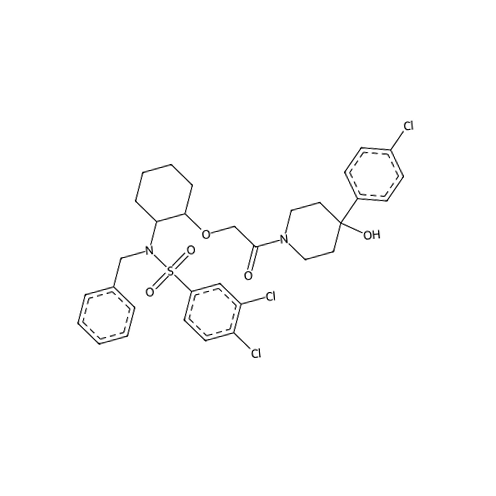 O=C(COC1CCCCC1N(Cc1ccccc1)S(=O)(=O)c1ccc(Cl)c(Cl)c1)N1CCC(O)(c2ccc(Cl)cc2)CC1